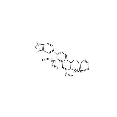 COc1cc2c(ccc3c4ccc5c(c4c(=O)n(C)c23)OCO5)c(Cc2ccccc2)c1OC